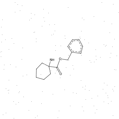 [NH]C1(C(=O)OCc2ccccc2)CCCCC1